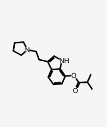 CC(C)C(=O)Oc1cccc2c(CCN3CCCC3)c[nH]c12